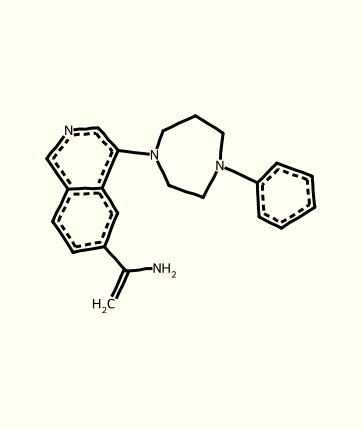 C=C(N)c1ccc2cncc(N3CCCN(c4ccccc4)CC3)c2c1